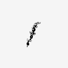 CC[C@H](C)OC(=O)Oc1ccc(C(=O)NS(=O)(=O)c2ccc(CCNC(=O)c3ccc(F)cc3)cc2)cn1